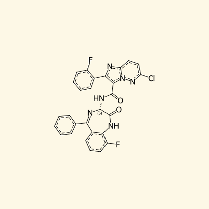 O=C(N[C@H]1N=C(c2ccccc2)c2cccc(F)c2NC1=O)c1c(-c2ccccc2F)nc2ccc(Cl)nn12